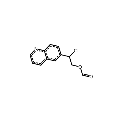 O=COCC(Cl)c1ccc2ncccc2c1